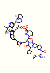 CCn1c(-c2cc(N3CCN4CCC[C@@H]4C3)cnc2[C@H](C)OC)c2c3cc(ccc31)-c1csc(n1)C[C@H](NC(=O)C(C1CCCC1)N1CC[C@]3(CCN(C(=O)[C@@H]4NC4C4CC4)C3)C1)C(=O)N1CCC[C@H](N1)C(=O)OCC(C)(C)C2